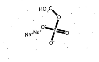 O=C(O)OP(=O)([O-])[O-].[Na+].[Na+]